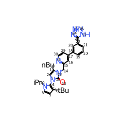 CCCCc1cn(-c2c(C(C)(C)C)ccn2C(C)C)c(=O)n1Cc1cc(-c2cccc(-c3nnn[nH]3)c2)ccn1